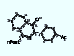 CCCCCn1nc(-c2ccc(C(C)=O)cc2)c(=O)c2ccccc21